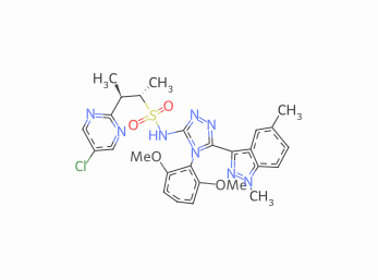 COc1cccc(OC)c1-n1c(NS(=O)(=O)[C@@H](C)[C@H](C)c2ncc(Cl)cn2)nnc1-c1nn(C)c2ccc(C)cc12